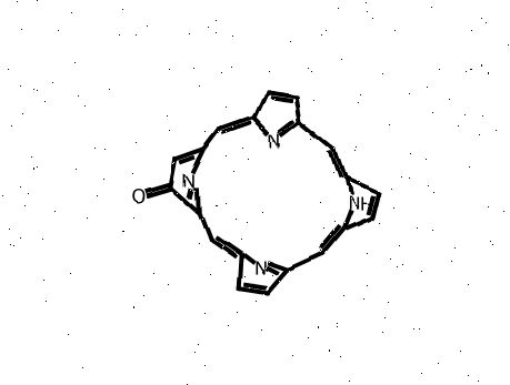 O=C1C=C2C=C3C=CC(=N3)C=c3ccc([nH]3)=CC3=NC(=CC1=N2)C=C3